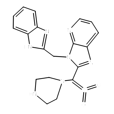 O=S(=O)=C(c1nc2cccnc2n1Cc1nc2ccccc2[nH]1)N1CCNCC1